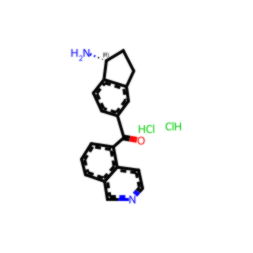 Cl.Cl.N[C@@H]1CCc2cc(C(=O)c3cccc4cnccc34)ccc21